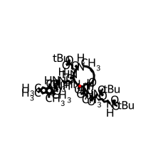 Cc1c(C)c(S(=O)(=O)NC(=N)NCCC[C@@H]2NC(=O)[C@@H]3C[C@H](CN3C(=O)[C@H](C)NC(=O)[C@H](CCCCNC(=O)OC(C)(C)C)NC(=O)OC(C)(C)C)OCCC=CC[C@@H](C)NC(=O)[C@H](CCC(=O)OC(C)(C)C)NC2=O)c(C)c2c1CC(C)(C)C2